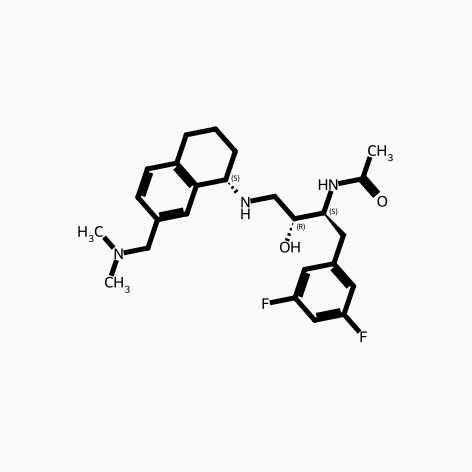 CC(=O)N[C@@H](Cc1cc(F)cc(F)c1)[C@H](O)CN[C@H]1CCCc2ccc(CN(C)C)cc21